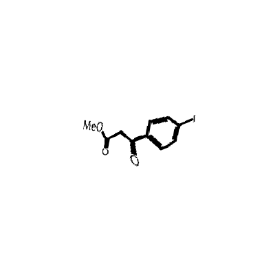 COC(=O)CC(=O)c1ccc(I)cc1